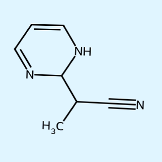 CC(C#N)C1N=CC=CN1